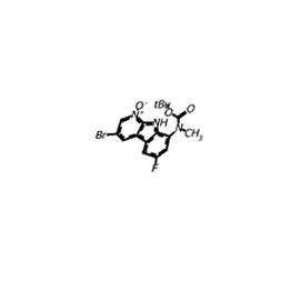 CN(C(=O)OC(C)(C)C)c1cc(F)cc2c1[nH]c1c2cc(Br)c[n+]1[O-]